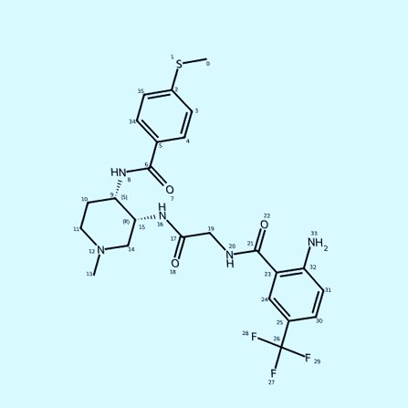 CSc1ccc(C(=O)N[C@H]2CCN(C)C[C@H]2NC(=O)CNC(=O)c2cc(C(F)(F)F)ccc2N)cc1